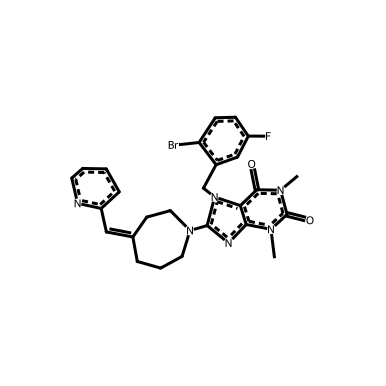 Cn1c(=O)c2c(nc(N3CCC/C(=C/c4ccccn4)CC3)n2Cc2cc(F)ccc2Br)n(C)c1=O